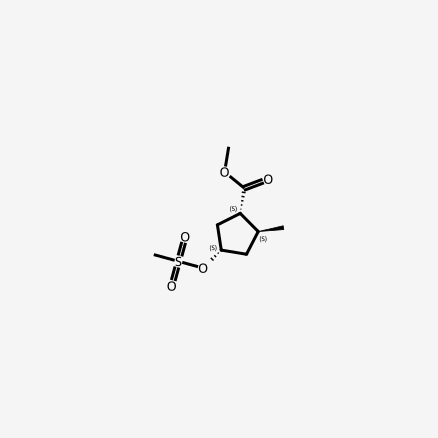 COC(=O)[C@H]1C[C@@H](OS(C)(=O)=O)C[C@@H]1C